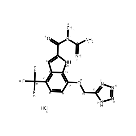 CN(C(=N)N)C(=O)c1cc2c(C(F)(F)F)ccc(OCc3nnn[nH]3)c2[nH]1.Cl